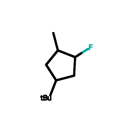 CC1CC(C(C)(C)C)CC1F